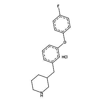 Cl.Fc1ccc(Oc2cccc(CC3CCCNC3)c2)cc1